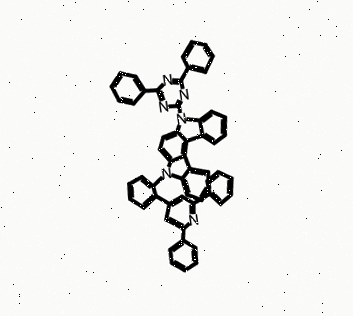 c1ccc(-c2cc(-c3ccccc3-n3c4ccccc4c4c5c6ccccc6n(-c6nc(-c7ccccc7)nc(-c7ccccc7)n6)c5ccc43)cc(-c3ccccc3)n2)cc1